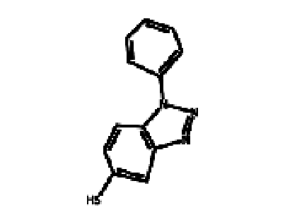 Sc1ccc2c(c1)nnn2-c1ccccc1